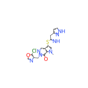 Cn1cc(SC(=N)Cc2cc[nH]n2)c2cnn(Cc3ncoc3Cl)c(=O)c21